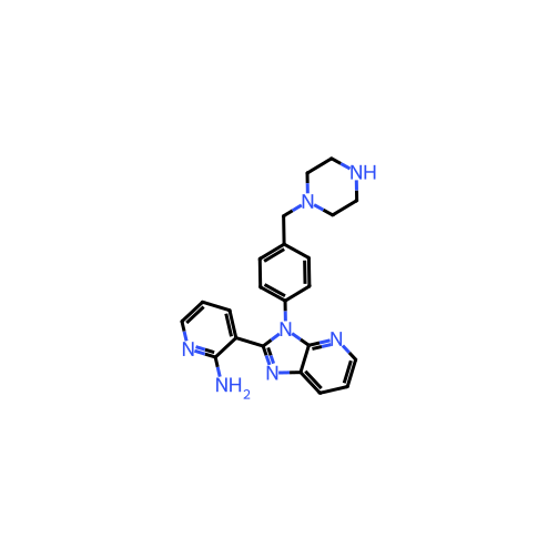 Nc1ncccc1-c1nc2cccnc2n1-c1ccc(CN2CCNCC2)cc1